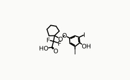 O=C(O)C(F)(F)C1(OOc2cc(I)c(O)c(I)c2)CCCCC1